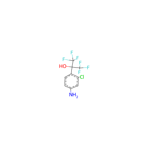 Nc1ccc(C(O)(C(F)(F)F)C(F)(F)F)c(Cl)c1